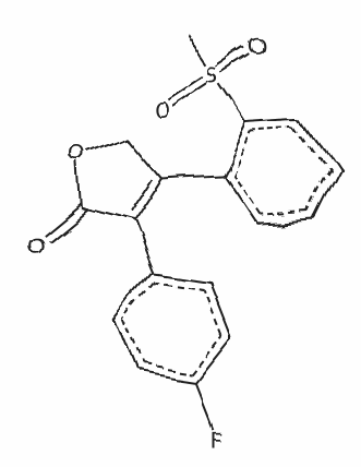 CS(=O)(=O)c1ccccc1C1=C(c2ccc(F)cc2)C(=O)OC1